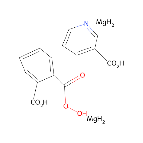 O=C(O)c1ccccc1C(=O)OO.O=C(O)c1cccnc1.[MgH2].[MgH2]